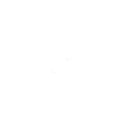 O=S(=O)=c1cnc2ccccc2[nH]1